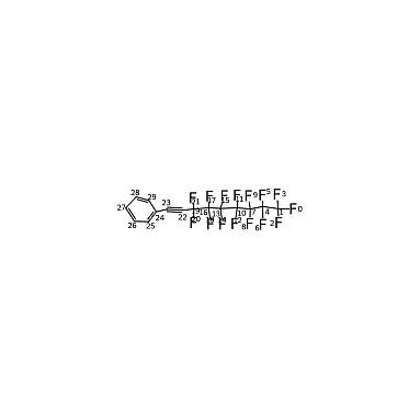 FC(F)(F)C(F)(F)C(F)(F)C(F)(F)C(F)(F)C(F)(F)C(F)(F)C#Cc1ccccc1